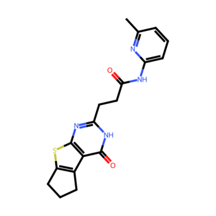 Cc1cccc(NC(=O)CCc2nc3sc4c(c3c(=O)[nH]2)CCC4)n1